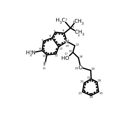 CC(C)(C)c1cc2cc(N)c(F)cc2n1CC(O)COCc1ccccc1